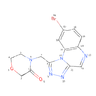 O=C1COCCN1Cc1nnc2cnc3ccc(Br)cc3n12